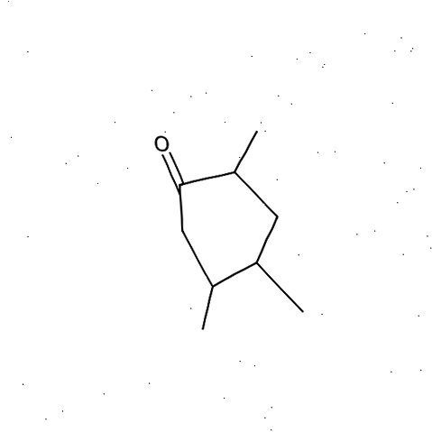 CC1CC(C)C(C)CC1=O